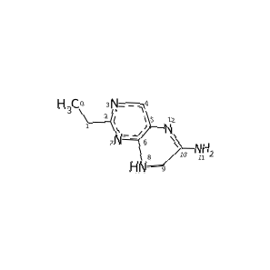 CCc1ncc2c(n1)NCC(N)=N2